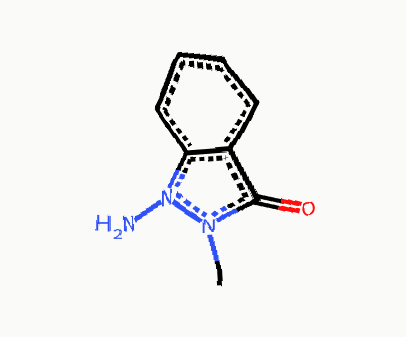 Cn1c(=O)c2ccccc2n1N